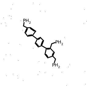 PCc1ccc(-c2ccc(-c3ccc(CP)cc3CP)cc2)cc1